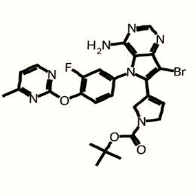 Cc1ccnc(Oc2ccc(-n3c(C4=CCN(C(=O)OC(C)(C)C)C4)c(Br)c4ncnc(N)c43)cc2F)n1